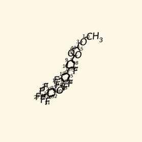 CCOCC1COC(c2ccc(-c3cc(F)c(C(F)(F)Oc4cc(F)c(C(F)(F)F)c(F)c4)c(F)c3)c(F)c2)OC1